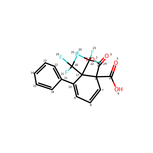 O=C(O)C1(C(=O)O)C=CC=C(c2ccccc2)C1(C(F)(F)F)C(F)(F)F